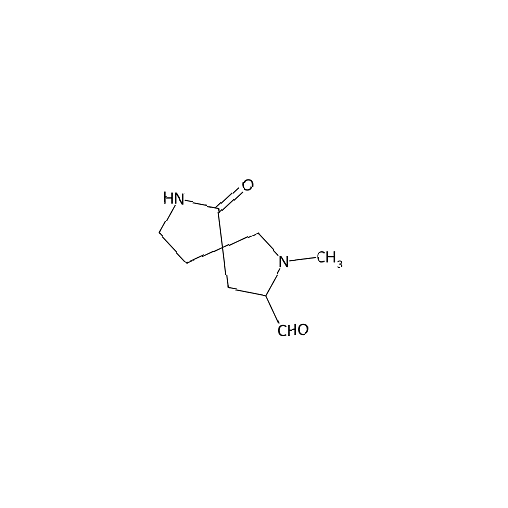 CN1CC2(CCNC2=O)CC1C=O